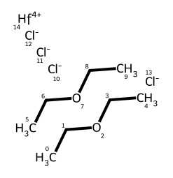 CCOCC.CCOCC.[Cl-].[Cl-].[Cl-].[Cl-].[Hf+4]